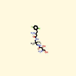 CC(C)(CNC(=O)C[C@H](N)Cc1cc(F)ccc1F)CNC(=O)[C@@H](O)[C@H](N)CO